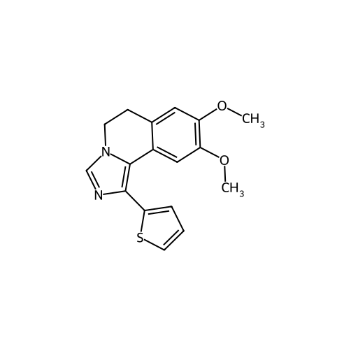 COc1cc2c(cc1OC)-c1c(-c3cccs3)ncn1CC2